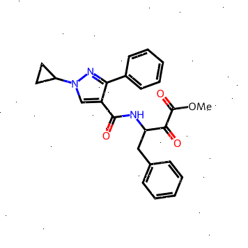 COC(=O)C(=O)C(Cc1ccccc1)NC(=O)c1cn(C2CC2)nc1-c1ccccc1